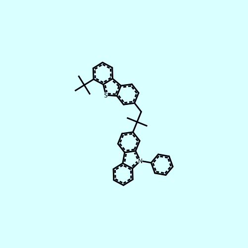 CC(C)(C)c1cccc2c1sc1cc(CC(C)(C)c3ccc4c5ccccc5n(-c5ccccc5)c4c3)ccc12